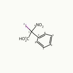 O=C(O)C(I)(c1ccccc1)[N+](=O)[O-]